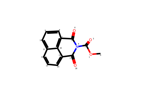 COC(=O)N1C(=O)c2cccc3cccc(c23)C1=O